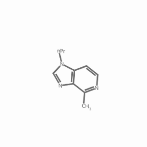 CCCn1cnc2c(C)nccc21